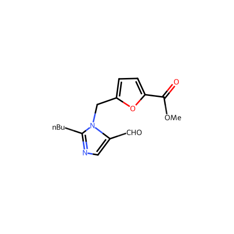 CCCCc1ncc(C=O)n1Cc1ccc(C(=O)OC)o1